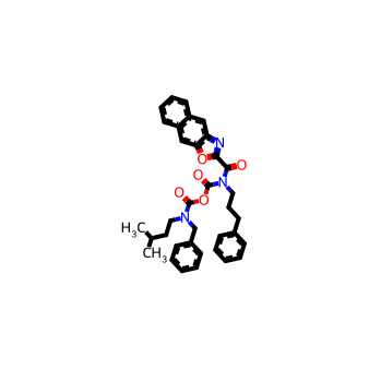 CC(C)CCN(Cc1ccccc1)C(=O)OC(=O)N(CCCc1ccccc1)C(=O)c1nc2cc3ccccc3cc2o1